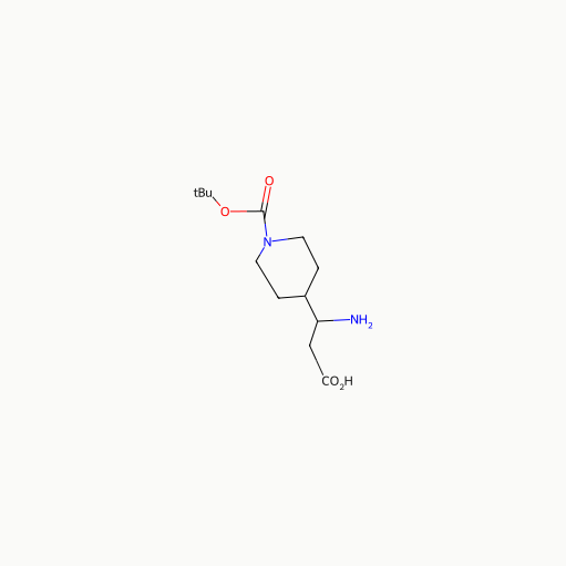 CC(C)(C)OC(=O)N1CCC(C(N)CC(=O)O)CC1